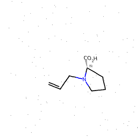 C=CCN1CCC[C@H]1C(=O)O